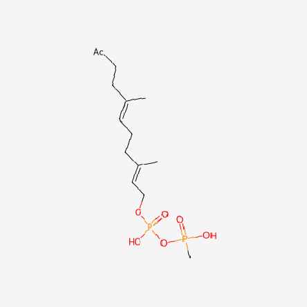 CC(=O)CC/C(C)=C/CC/C(C)=C/COP(=O)(O)OP(C)(=O)O